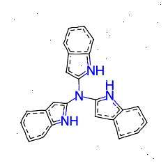 c1ccc2[nH]c(N(c3cc4ccccc4[nH]3)c3cc4ccccc4[nH]3)cc2c1